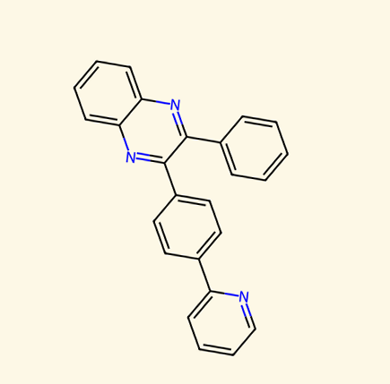 c1ccc(-c2nc3ccccc3nc2-c2ccc(-c3ccccn3)cc2)cc1